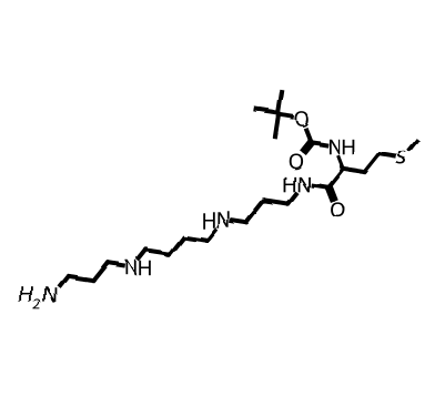 CSCCC(NC(=O)OC(C)(C)C)C(=O)NCCCNCCCCNCCCN